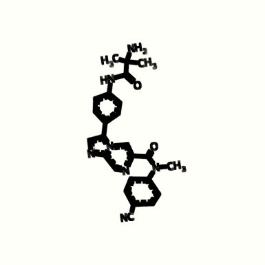 CN(C(=O)c1cn2c(-c3ccc(NC(=O)C(C)(C)N)cc3)cnc2cn1)c1ccc(C#N)cc1